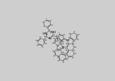 C1=CCCC(C2NC(c3ccc(N4C5=C(C=CCC5)C5CC6CC=CC=C6C(N6c7c(ccc8ccccc78)C7C=CC=CC76)=C54)cc3)=NC(c3ccccc3)N2)=C1